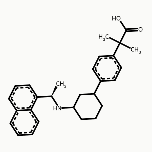 C[C@@H](NC1CCCC(c2ccc(C(C)(C)C(=O)O)cc2)C1)c1cccc2ccccc12